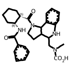 CN(CC1Nc2ccccc2C2C1CCN2C(=O)[C@H]1CCCC[C@H]1NC(=O)c1ccccc1)C(=O)O